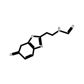 O=CNCCc1nc2c(o1)CC(=O)C=C2